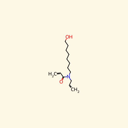 C=CCN(CCCCCCCCO)C(=O)C=C